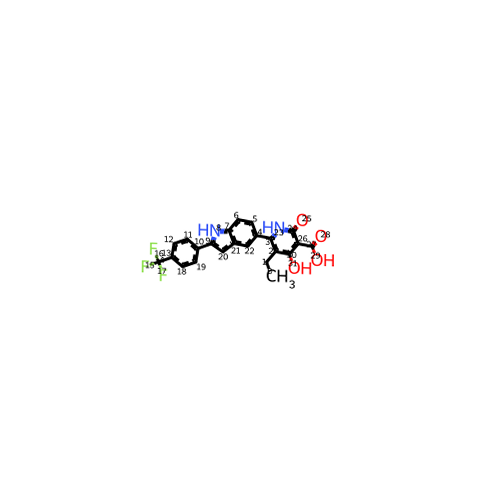 CCc1c(-c2ccc3[nH]c(-c4ccc(C(F)(F)F)cc4)cc3c2)[nH]c(=O)c(C(=O)O)c1O